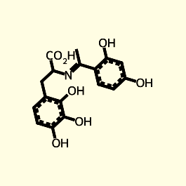 C/C(=N\C(Cc1ccc(O)c(O)c1O)C(=O)O)c1ccc(O)cc1O